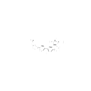 CC(C)n1c(-c2cc(-c3ccc(N4CCC(CN(C)C)C4)nc3)c(F)cc2N)c(N)n(C)c1=O